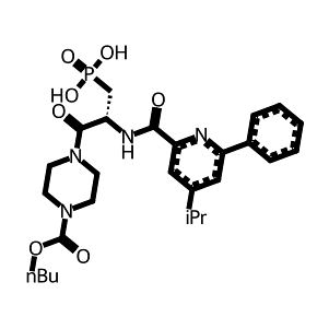 CCCCOC(=O)N1CCN(C(=O)[C@H](CP(=O)(O)O)NC(=O)c2cc(C(C)C)cc(-c3ccccc3)n2)CC1